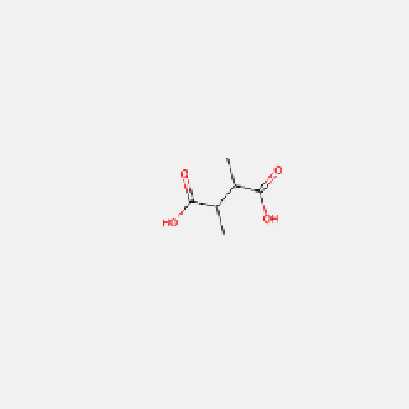 C[C](C(=O)O)C(C)C(=O)O